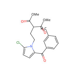 COC(=O)C(CCn1c(Cl)ccc1C(=O)c1cccc(C)c1)C(=O)OC